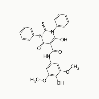 COc1cc(NC(=O)c2c(O)n(-c3ccccc3)c(=S)n(-c3ccccc3)c2=O)cc(OC)c1O